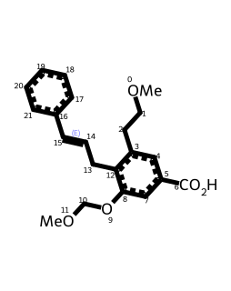 COCCc1cc(C(=O)O)cc(OCOC)c1C/C=C/c1ccccc1